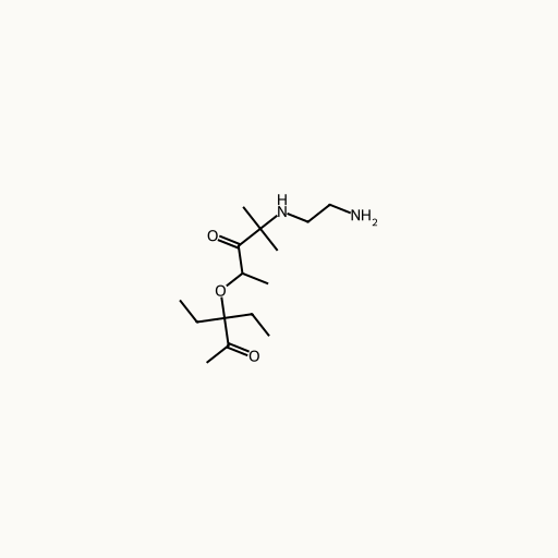 CCC(CC)(OC(C)C(=O)C(C)(C)NCCN)C(C)=O